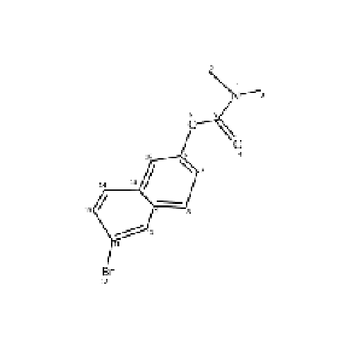 CN(C)C(=O)Oc1ccc2cc(Br)ccc2c1